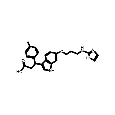 Cc1ccc(C(CC(=O)O)c2c[nH]c3cc(OCCCNc4ncc[nH]4)ccc23)cc1